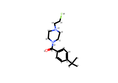 CC(C)(C)c1ccc(C(=O)N2CCN(CCF)CC2)cc1